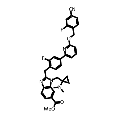 COC(=O)c1ccc2nc(Cc3ccc(-c4cccc(OCc5ccc(C#N)cc5F)n4)cc3F)n(CC3(N(C)C)CC3)c2c1